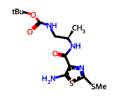 CSc1nc(C(=O)N[C@H](C)CNC(=O)OC(C)(C)C)c(N)s1